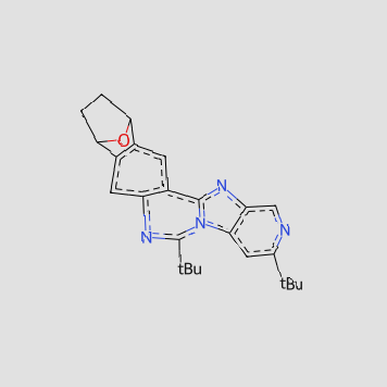 CC(C)(C)c1cc2c(cn1)nc1c3cc4c(cc3nc(C(C)(C)C)n21)C1CCC4O1